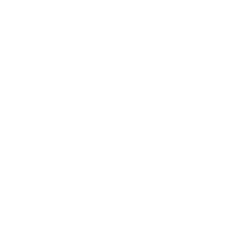 [CH2]C=CCC=CC=CCC